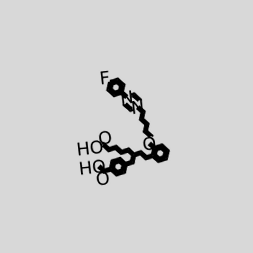 O=C(O)CCCCC(CCc1ccccc1OCCCCCN1CCN(c2ccc(F)cc2)CC1)Cc1ccc(C(=O)O)cc1